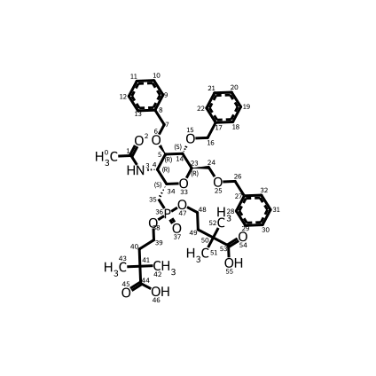 CC(=O)N[C@@H]1[C@@H](OCc2ccccc2)[C@H](OCc2ccccc2)[C@@H](COCc2ccccc2)O[C@@H]1CP(=O)(OCCC(C)(C)C(=O)O)OCCC(C)(C)C(=O)O